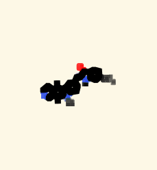 CCn1c2ccc(/C=C3/C(=O)c4ccc(C(Cl)(Cl)Cl)cc4N3C)cc2c2c(C)c3ccncc3c(C)c21